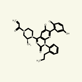 C=CC(=O)N1CCN(c2nc(=O)n(-c3ccccc3CCC)c3nc(-c4cc(O)ccc4Cl)c(Cl)cc23)[C@@H](C)C1